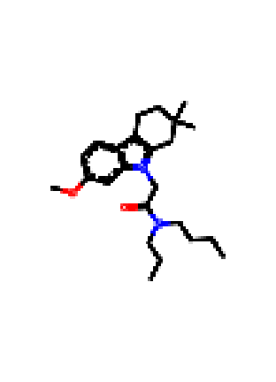 CCCCN(CCC)C(=O)Cn1c2c(c3ccc(OC)cc31)CCC(C)(C)C2